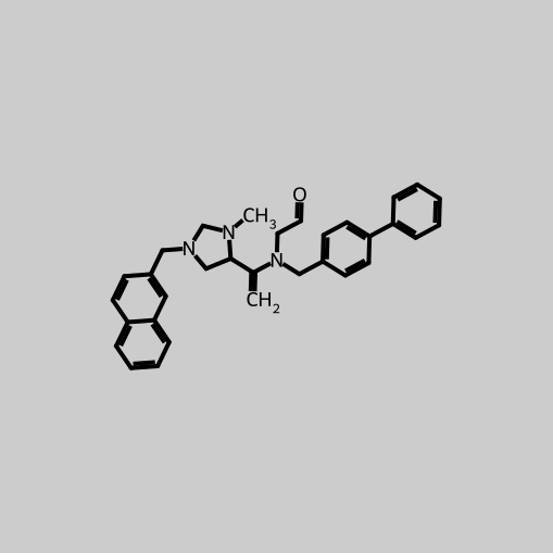 C=C(C1CN(Cc2ccc3ccccc3c2)CN1C)N(CC=O)Cc1ccc(-c2ccccc2)cc1